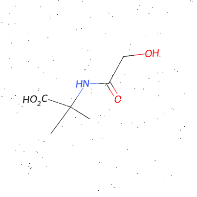 CC(C)(NC(=O)CO)C(=O)O